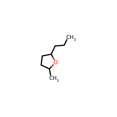 CCCC1CCC(C)O1